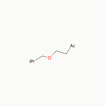 CC(=O)CCOCC(C)C